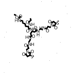 CCOC(=O)NCCCCC(NC(=O)CC)C(=O)NC(CC(=O)NCCNC(=O)CCN1C(=O)CC(SC)C1=O)CC(=O)NCCNC(=O)CCN1C(=O)CC(SC)C1=O